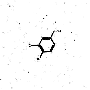 CCCC(C)c1ccc(O)c(Cl)c1